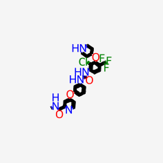 CNC(=O)c1cc(Oc2cccc(NC(=O)Nc3ccc(C(F)(F)F)c(OC4CCNCC4)c3Cl)c2)ccn1